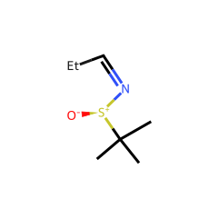 CC/C=N\[S@+]([O-])C(C)(C)C